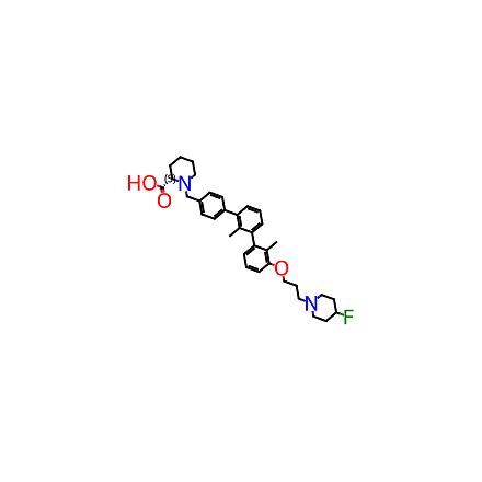 Cc1c(OCCCN2CCC(F)CC2)cccc1-c1cccc(-c2ccc(CN3CCCC[C@H]3C(=O)O)cc2)c1C